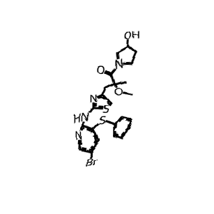 COC(C)(Cc1csc(Nc2ncc(Br)cc2Sc2ccccc2)n1)C(=O)N1CCC(O)C1